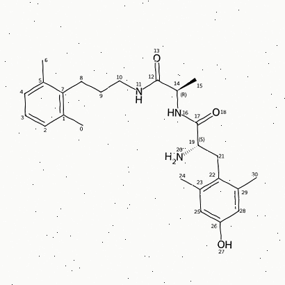 Cc1cccc(C)c1CCCNC(=O)[C@@H](C)NC(=O)[C@@H](N)Cc1c(C)cc(O)cc1C